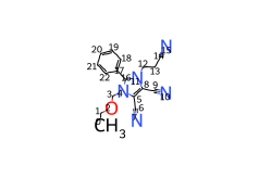 CCOCN1C(C#N)=C(C#N)N(CCC#N)C1c1ccccc1